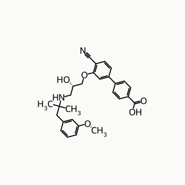 COc1cccc(CC(C)(C)NC[C@H](O)COc2cc(-c3ccc(C(=O)O)cc3)ccc2C#N)c1